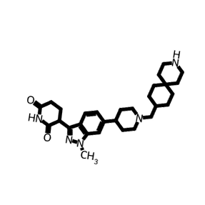 Cn1nc(C2CCC(=O)NC2=O)c2ccc(C3CCN(CC4CCC5(CCNCC5)CC4)CC3)cc21